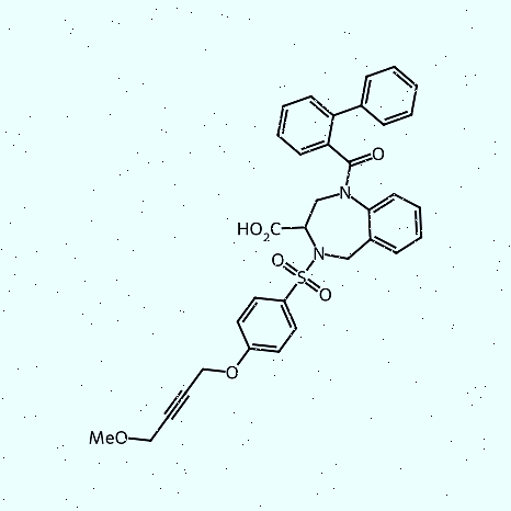 COCC#CCOc1ccc(S(=O)(=O)N2Cc3ccccc3N(C(=O)c3ccccc3-c3ccccc3)CC2C(=O)O)cc1